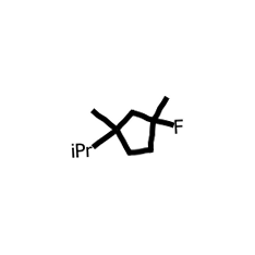 CC(C)C1(C)CCC(C)(F)C1